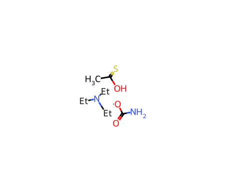 CC(O)=S.CCN(CC)CC.NC([O])=O